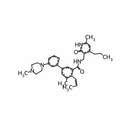 C/C=C\c1c(C)cc(-c2cccc(N3CCN(C)CC3)c2)cc1C(=O)NCc1c(CCC)cc(C)[nH]c1=O